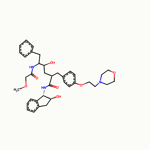 COCC(=O)NC(Cc1ccccc1)C(O)CC(Cc1ccc(OCCN2CCOCC2)cc1)C(=O)N[C@H]1c2ccccc2C[C@@H]1O